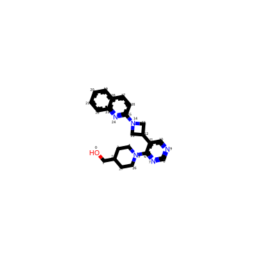 OCC1CCN(c2ncncc2C2CN(c3ccc4ccccc4n3)C2)CC1